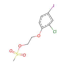 CS(=O)(=O)OCCOc1ccc(I)cc1Cl